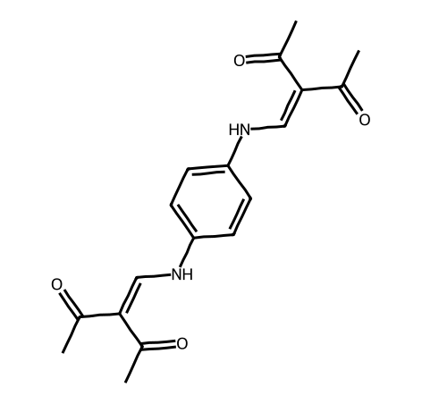 CC(=O)C(=CNc1ccc(NC=C(C(C)=O)C(C)=O)cc1)C(C)=O